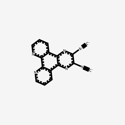 [C-]#[N+]c1nc2c3cccnc3c3ncccc3c2nc1[N+]#[C-]